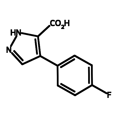 O=C(O)c1[nH]ncc1-c1ccc(F)cc1